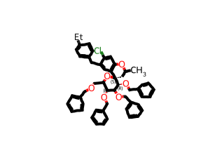 CCc1ccc(Cc2cc3c(cc2Cl)OC(C)C[C@]32OC(COCc3ccccc3)[C@@H](OCc3ccccc3)C(OCc3ccccc3)[C@H]2OCc2ccccc2)cc1